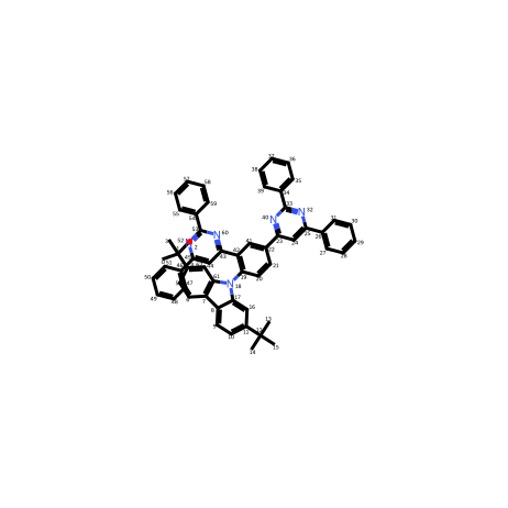 CC(C)(C)c1ccc2c3ccc(C(C)(C)C)cc3n(-c3ccc(-c4cc(-c5ccccc5)nc(-c5ccccc5)n4)cc3-c3cc(-c4ccccc4)nc(-c4ccccc4)n3)c2c1